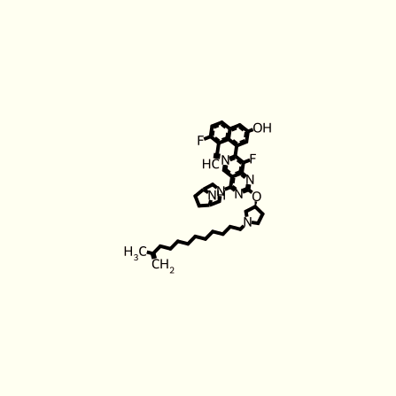 C#Cc1c(F)ccc2cc(O)cc(-c3ncc4c(N5CC6CCC(C5)N6)nc(O[C@H]5CCN(CCCCCCCCCCC(=C)C)C5)nc4c3F)c12